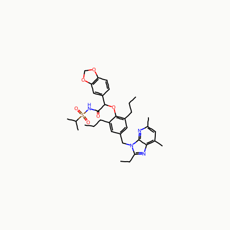 CCCc1cc(Cn2c(CC)nc3c(C)cc(C)nc32)cc(CCC)c1OC(C(=O)NS(=O)(=O)C(C)C)c1ccc2c(c1)OCO2